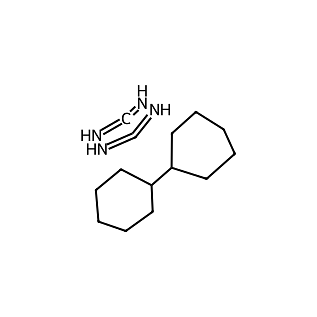 C1CCC(C2CCCCC2)CC1.N=C=N.N=C=N